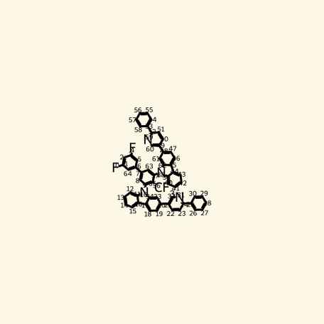 Fc1cc(F)cc(-c2cc(-n3c4ccccc4c4ccc(-c5ccc(-c6ccccc6)nc5)cc43)c(C(F)(F)F)c(-n3c4ccccc4c4ccc(-c5ccc(-c6ccccc6)nc5)cc43)c2)c1